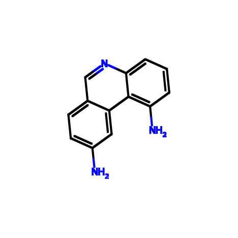 Nc1ccc2cnc3cccc(N)c3c2c1